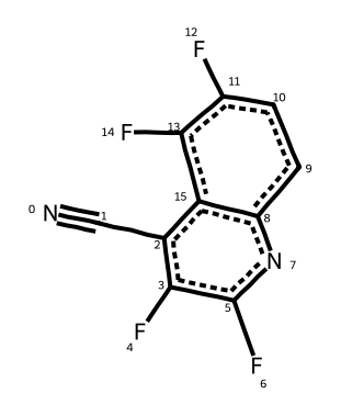 N#Cc1c(F)c(F)nc2ccc(F)c(F)c12